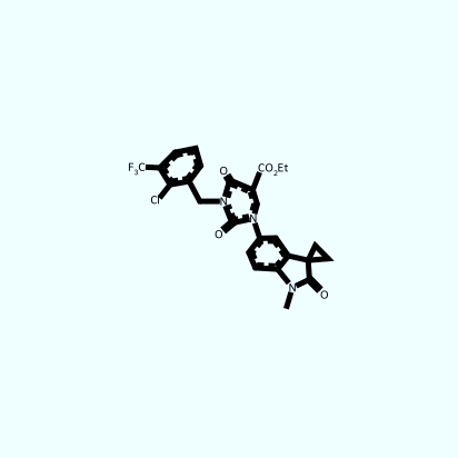 CCOC(=O)c1cn(-c2ccc3c(c2)C2(CC2)C(=O)N3C)c(=O)n(Cc2cccc(C(F)(F)F)c2Cl)c1=O